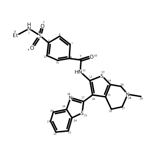 CCNS(=O)(=O)c1ccc(C(=O)Nc2sc3c(c2-c2nc4ccccc4s2)CCN(C)C3)cc1